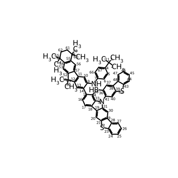 CC(C)(C)c1ccc(Nc2cc3c(cc2-c2ccc4c5cc6sc7ccccc7c6cc5n5c4c2Bc2cc4c(cc2-5)sc2ccccc24)C(C)(C)c2cc4c(cc2-3)C(C)(C)CCC4(C)C)cc1